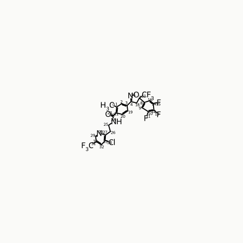 Cc1cc(C2=NOC(c3cc(F)c(F)c(F)c3)(C(F)(F)F)C2)ccc1C(=O)NCCc1ncc(C(F)(F)F)cc1Cl